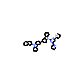 c1ccc(-c2cc(-c3ccccn3)nc(-n3c4ccccc4c4cc(-c5ccc6c(c5)c5ccccc5n6-c5ccc6ccccc6c5)ccc43)n2)nc1